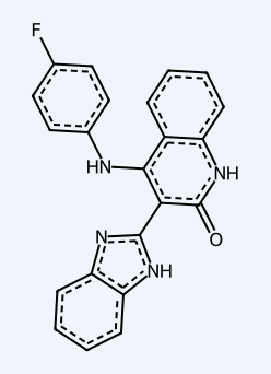 O=c1[nH]c2ccccc2c(Nc2ccc(F)cc2)c1-c1nc2ccccc2[nH]1